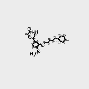 COc1ccc(C2CNC(=O)CO2)cc1OCCCCCc1ccccc1